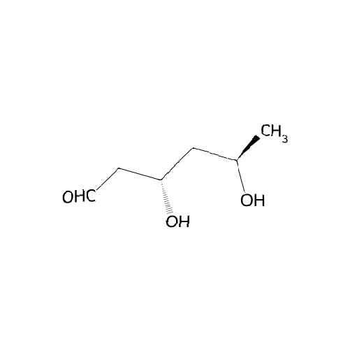 C[C@@H](O)C[C@H](O)CC=O